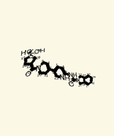 O=C(NC1=CC=C(C2=CCN(C(=O)C3CCS(O)(O)C3)CC2)CN1)N1Cc2ccccc2C1